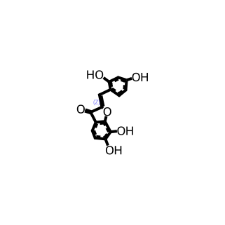 O=C1/C(=C/c2ccc(O)cc2O)Oc2c1ccc(O)c2O